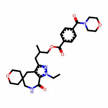 CCn1nc(CC(C)COC(=O)c2ccc(C(=O)N3CCOCC3)cc2)c2c1C(=O)NCC1(CCOCC1)C2